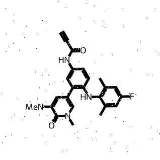 C#CC(=O)Nc1ccc(Nc2c(C)cc(F)cc2C)c(-c2cc(NC)c(=O)n(C)c2)c1